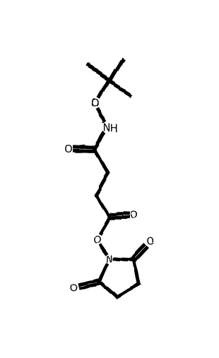 CC(C)(C)ONC(=O)CCC(=O)ON1C(=O)CCC1=O